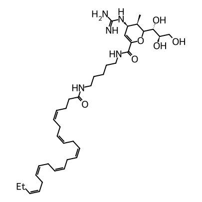 CC/C=C\C/C=C\C/C=C\C/C=C\C/C=C\C/C=C\CCC(=O)NCCCCCNC(=O)C1=C[C@@H](NC(=N)N)[C@@H](C)C([C@H](O)[C@H](O)CO)O1